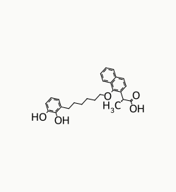 C[C@H](C(=O)O)c1ccc2ccccc2c1OCCCCCCc1cccc(O)c1O